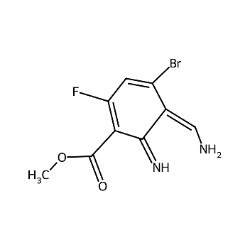 COC(=O)C1=C(F)C=C(Br)/C(=C/N)C1=N